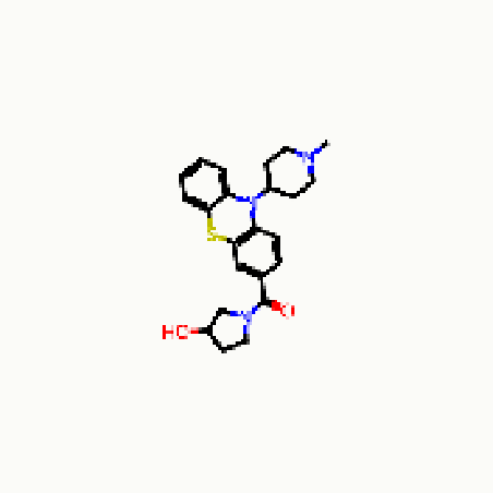 CN1CCC(N2c3ccccc3Sc3cc(C(=O)N4CCC(O)C4)ccc32)CC1